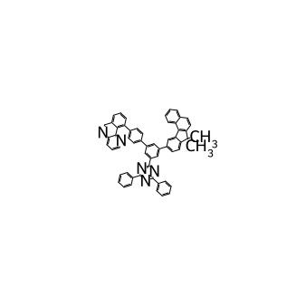 CC1(C)c2ccc(-c3cc(-c4ccc(-c5cccc6cnc7cccnc7c56)cc4)cc(-c4nc(-c5ccccc5)nc(-c5ccccc5)n4)c3)cc2-c2c1ccc1ccccc21